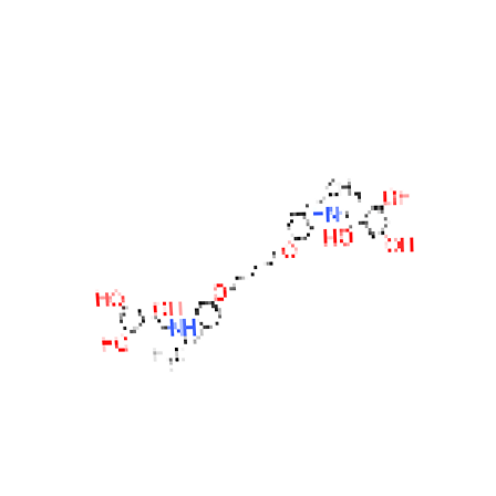 C[C@H](Cc1ccc(OCCCCCCOc2ccc(C[C@@H](C)NC[C@H](O)c3cc(O)cc(O)c3)cc2)cc1)NC[C@H](O)c1cc(O)cc(O)c1